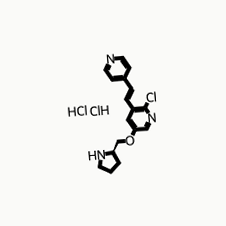 Cl.Cl.Clc1ncc(OC[C@H]2CCCN2)cc1/C=C/c1ccncc1